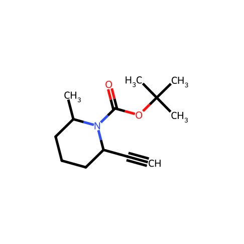 C#CC1CCCC(C)N1C(=O)OC(C)(C)C